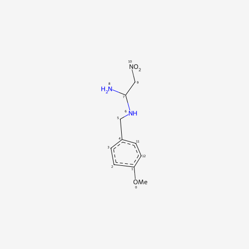 COc1ccc(CNC(N)C[N+](=O)[O-])cc1